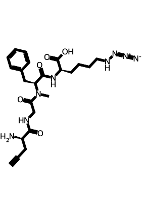 C#CC[C@@H](N)C(=O)NCC(=O)N(C)[C@@H](Cc1ccccc1)C(=O)N[C@H](CCCCNN=[N+]=[N-])C(=O)O